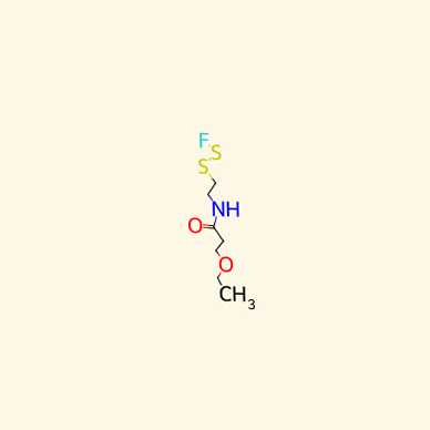 CCOCCC(=O)NCCSSF